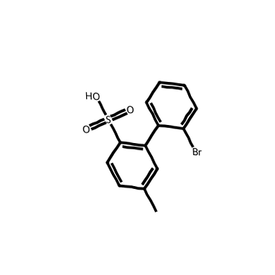 Cc1ccc(S(=O)(=O)O)c(-c2ccccc2Br)c1